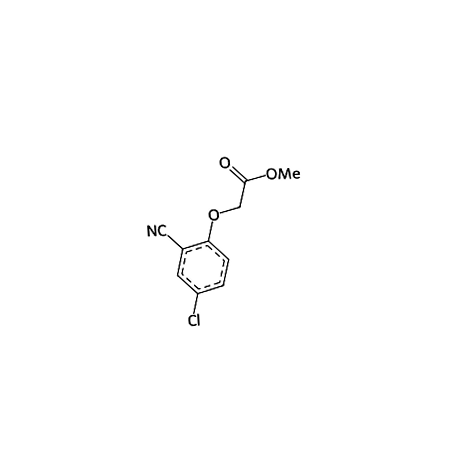 COC(=O)COc1ccc(Cl)cc1C#N